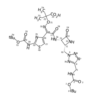 CC(C)(C)OC(=O)NCc1nnn(C[C@H]2NC(=O)[C@H]2NC(=O)/C(=N\OC(C)(C)C(=O)O)c2csc(NC(=O)OC(C)(C)C)n2)n1